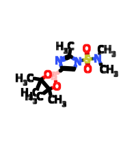 Cc1nc(B2OC(C)(C)C(C)(C)O2)cn1S(=O)(=O)N(C)C